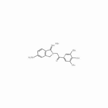 Br.CC(=O)Nc1ccc2c(c1)CN(CC(=O)c1cc(C(C)(C)C)c(O)c(C(C)(C)C)c1)C2=N